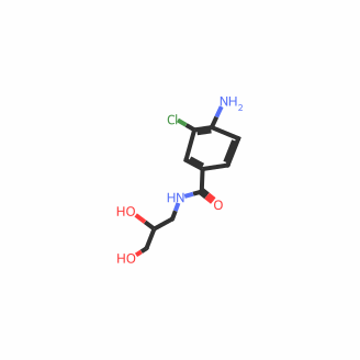 Nc1ccc(C(=O)NCC(O)CO)cc1Cl